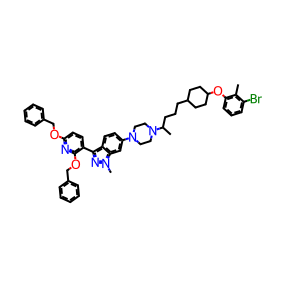 Cc1c(Br)cccc1OC1CCC(CCCC(C)N2CCN(c3ccc4c(-c5ccc(OCc6ccccc6)nc5OCc5ccccc5)nn(C)c4c3)CC2)CC1